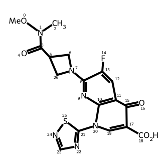 CON(C)C(=O)C1CN(c2nc3c(cc2F)c(=O)c(C(=O)O)cn3-c2ncns2)C1